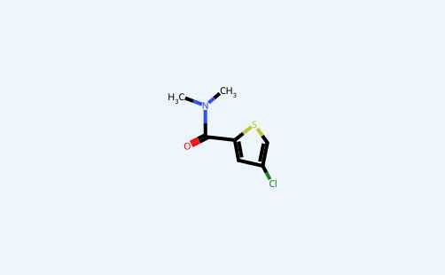 CN(C)C(=O)c1cc(Cl)cs1